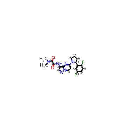 CN(C)C(=O)C(=O)Nc1cnn2ccc(N3CCCC3c3cc(F)ccc3F)nc12